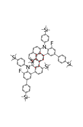 C[Si](C)(C)c1ccc(-c2cc(F)c(N(c3ccc([Si](C)(C)C)cc3)c3ccc4ccc5c(N(c6ccc([Si](C)(C)C)cc6)c6c(F)cc(-c7ccc([Si](C)(C)C)cc7)cc6-c6ccc([Si](C)(C)C)cc6)ccc6ccc3c4c65)c(-c3ccc([Si](C)(C)C)cc3)c2)cc1